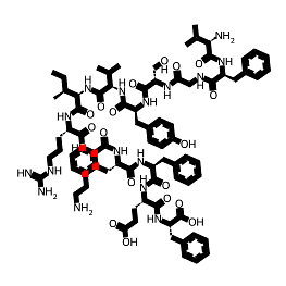 CC[C@H](C)[C@H](NC(=O)[C@@H](NC(=O)[C@H](Cc1ccc(O)cc1)NC(=O)[C@H](CO)NC(=O)CNC(=O)[C@H](Cc1ccccc1)NC(=O)[C@@H](N)C(C)C)C(C)C)C(=O)N[C@@H](CCCNC(=N)N)C(=O)N[C@@H](CCCCN)C(=O)N[C@@H](Cc1ccccc1)C(=O)N[C@@H](Cc1ccccc1)C(=O)N[C@@H](CCC(=O)O)C(=O)N[C@@H](Cc1ccccc1)C(=O)O